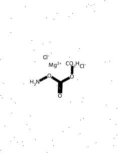 NOC(=O)OC(=O)O.[Cl-].[Cl-].[Mg+2]